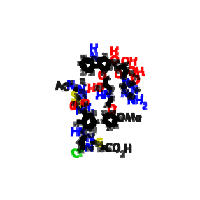 CC(=O)/N=c1\sc(S(N)(=O)=O)nn1C.COc1ccccc1OCCNCC(O)COc1cccc2[nH]c3ccccc3c12.Cc1cccc(Nc2cc(Cl)nc(SCC(=O)O)n2)c1C.Nc1ncn([C@@H]2O[C@H](CO)[C@@H](O)[C@H]2O)c(=O)n1